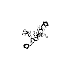 COC1(NC(=O)Cc2cccs2)C(=O)N2C(C(=O)OCC(Cl)(Cl)Cl)=C(COCc3ccccc3)CS[C@@H]21